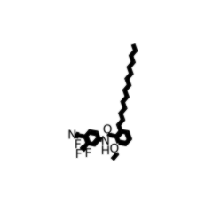 CCCCCCCCCCCCCCCc1cccc(OCC)c1C(=O)Nc1ccc(C#N)c(C(F)(F)F)c1